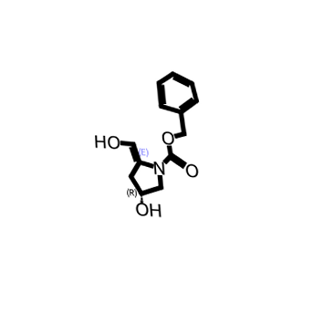 O=C(OCc1ccccc1)N1C[C@H](O)C/C1=C\O